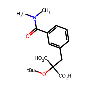 CN(C)C(=O)c1cccc(CC(OC(C)(C)C)(C(=O)O)C(=O)O)c1